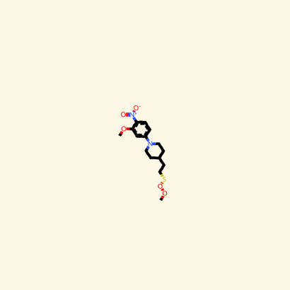 COOSCCC1CCN(c2ccc([N+](=O)[O-])c(OC)c2)CC1